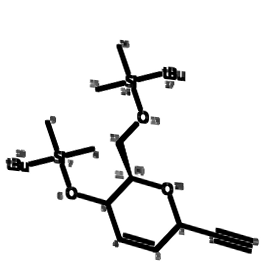 C#CC1C=CC(O[Si](C)(C)C(C)(C)C)[C@@H](CO[Si](C)(C)C(C)(C)C)O1